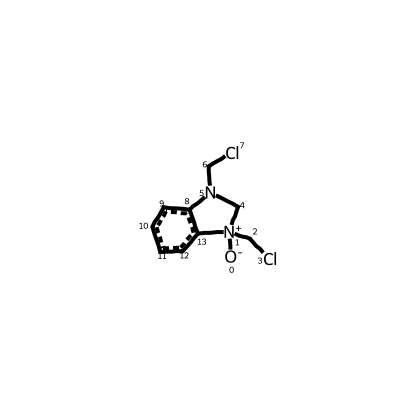 [O-][N+]1(CCl)CN(CCl)c2ccccc21